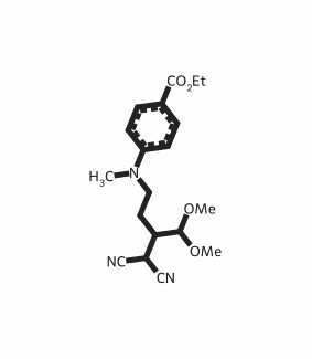 CCOC(=O)c1ccc(N(C)CCC(C(C#N)C#N)C(OC)OC)cc1